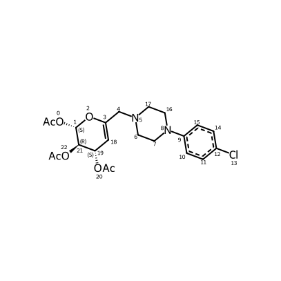 CC(=O)O[C@@H]1OC(CN2CCN(c3ccc(Cl)cc3)CC2)=C[C@H](OC(C)=O)[C@H]1OC(C)=O